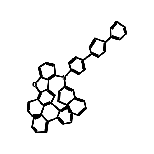 c1ccc(-c2ccc(-c3ccc(N(c4ccc5ccccc5c4)c4cccc5oc6c7ccccc7c(-c7ccccc7-c7ccccc7)cc6c45)cc3)cc2)cc1